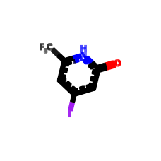 O=c1cc(I)cc(C(F)(F)F)[nH]1